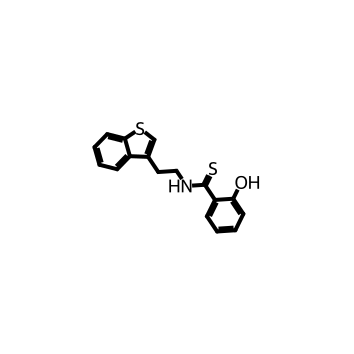 Oc1ccccc1C(=S)NCCc1csc2ccccc12